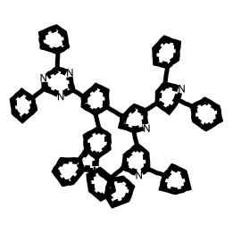 c1ccc(-c2cc(-c3cc(-c4ccc(-c5nc(-c6ccccc6)nc(-c6ccccc6)n5)cc4-c4ccc5c(c4)c4ccccc4n5-c4ccccc4)cc(-c4cc(-c5ccccc5)nc(-c5ccccc5)c4)n3)cc(-c3ccccc3)n2)cc1